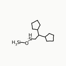 [SiH3]O[SiH]CC(C1CCCC1)C1CCCC1